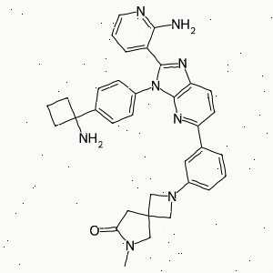 CN1CC2(CC1=O)CN(c1cccc(-c3ccc4nc(-c5cccnc5N)n(-c5ccc(C6(N)CCC6)cc5)c4n3)c1)C2